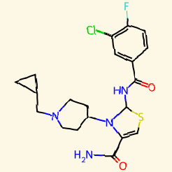 NC(=O)C1=CSC(NC(=O)c2ccc(F)c(Cl)c2)N1C1CCN(CC2CC2)CC1